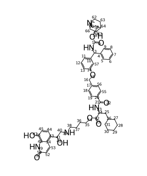 O=C(NC(c1ccccc1)c1cccc(OCc2ccc(C(=O)NC(CC3CCCCC3)C(=O)OCCCCNC[C@@H](O)c3ccc(O)c4[nH]c(=O)ccc34)cc2)c1)O[C@H]1CN2CCC1CC2